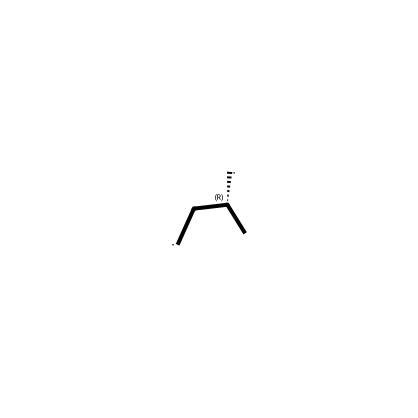 [CH2]C[C@H]([CH2])C